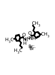 CCCCc1cc(C)ccc1C(=O)[NH][Hf+2][NH]C(=O)c1ccc(C)cc1CCCC.[Br-].[Br-]